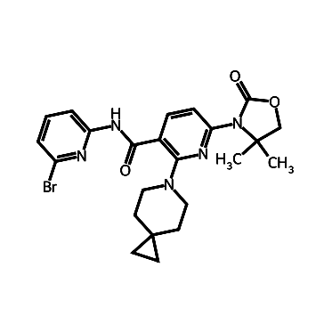 CC1(C)COC(=O)N1c1ccc(C(=O)Nc2cccc(Br)n2)c(N2CCC3(CC2)CC3)n1